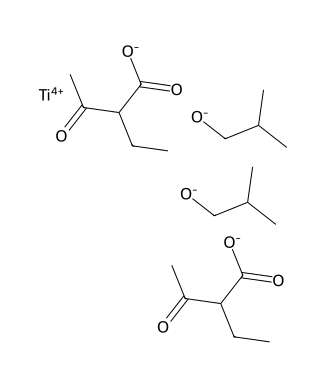 CC(C)C[O-].CC(C)C[O-].CCC(C(C)=O)C(=O)[O-].CCC(C(C)=O)C(=O)[O-].[Ti+4]